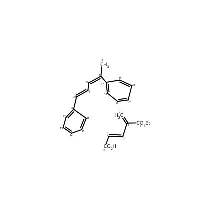 C=C(C=CC(=O)O)C(=O)OCC.CC(=CC=Cc1ccccc1)c1ccccc1